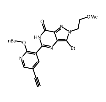 C#Cc1cnc(OCCCC)c(-c2nc3c(CC)n(CCOC)nc3c(=O)[nH]2)c1